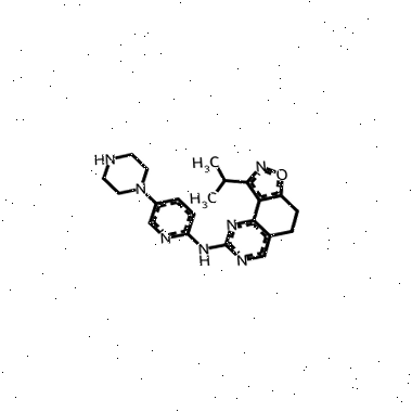 CC(C)c1noc2c1-c1nc(Nc3ccc(N4CCNCC4)cn3)ncc1CC2